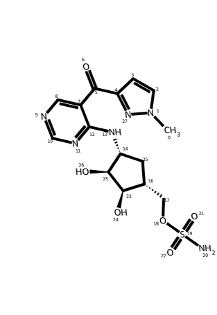 Cn1ccc(C(=O)c2cncnc2N[C@@H]2C[C@H](COS(N)(=O)=O)[C@@H](O)[C@H]2O)n1